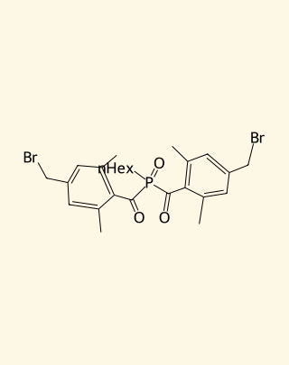 CCCCCCP(=O)(C(=O)c1c(C)cc(CBr)cc1C)C(=O)c1c(C)cc(CBr)cc1C